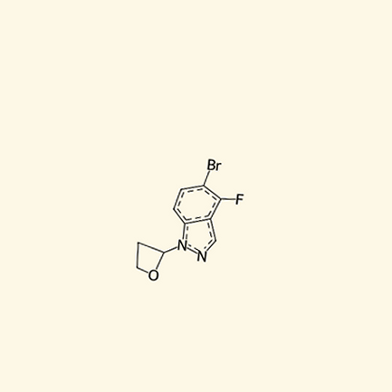 Fc1c(Br)ccc2c1cnn2C1CCO1